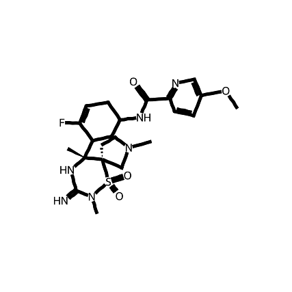 COc1ccc(C(=O)NC2CC=C(F)C([C@@]3(C)NC(=N)N(C)S(=O)(=O)[C@@]34CCN(C)C4)C2)nc1